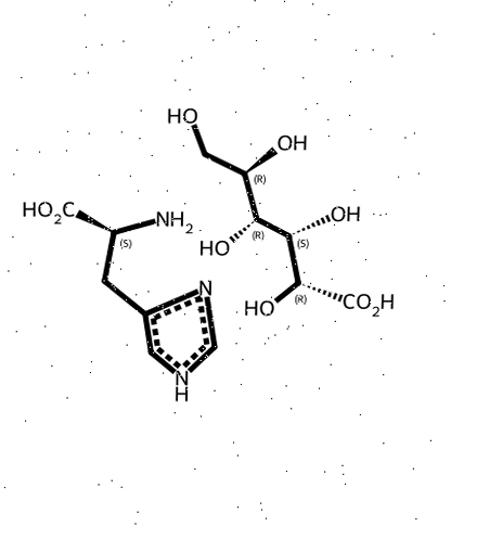 N[C@@H](Cc1c[nH]cn1)C(=O)O.O=C(O)[C@H](O)[C@@H](O)[C@H](O)[C@H](O)CO